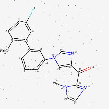 COc1ccc(F)cc1-c1cccc(-n2cnc(C(=O)c3nccn3C(C)C)c2)c1